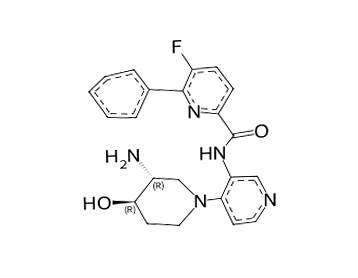 N[C@@H]1CN(c2ccncc2NC(=O)c2ccc(F)c(-c3ccccc3)n2)CC[C@H]1O